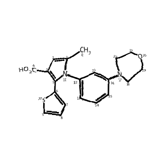 Cc1cc(C(=O)O)c(-c2cccs2)n1-c1cccc(N2CCOCC2)c1